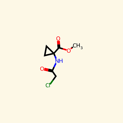 COC(=O)C1(NC(=O)CCl)CC1